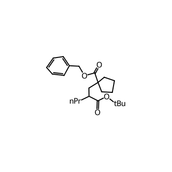 CCCC(CC1(C(=O)OCc2ccccc2)CCCC1)C(=O)OC(C)(C)C